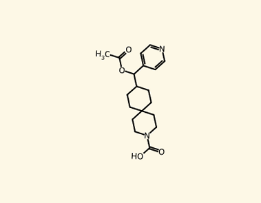 CC(=O)OC(c1ccncc1)C1CCC2(CC1)CCN(C(=O)O)CC2